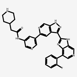 O=C(CC1CCNCC1)Nc1cncc(-c2cc3c(-c4nc5c(-c6ccccc6F)cncc5[nH]4)n[nH]c3cn2)c1